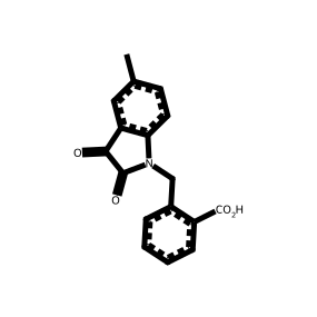 Cc1ccc2c(c1)C(=O)C(=O)N2Cc1ccccc1C(=O)O